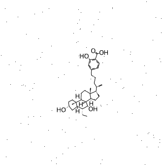 CC[C@H]1[C@@H](O)[C@@H]2[C@H](CC[C@]3(C)[C@@H]([C@H](C)CCCc4ccc(C(=O)O)c(O)c4)CC[C@@H]23)[C@@]2(C)CC[C@@H](O)C[C@@H]12